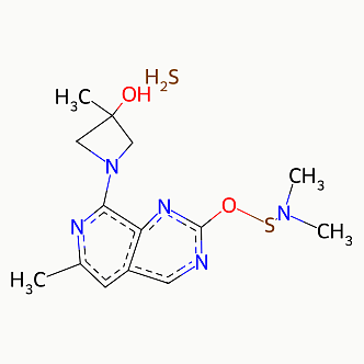 Cc1cc2cnc(OSN(C)C)nc2c(N2CC(C)(O)C2)n1.S